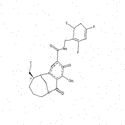 O=C(NCC1=C(F)C=C(F)CC1F)c1cn2c(c(O)c1=O)C(=O)N1CCC[C@@H](CF)C2C1